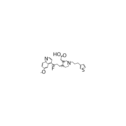 COc1ccc2nccc([C@@H](F)CC[C@@H]3CCN(CCCc4ccsc4)C[C@@H]3CC(=O)O)c2c1